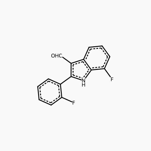 O=Cc1c(-c2ccccc2F)[nH]c2c(F)cccc12